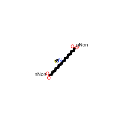 CCCCCCCCCOC(=O)CCCCCCCC(CCCCCCCC(=O)OCCCCCCCCC)N=C=S